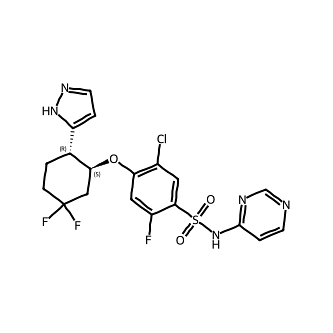 O=S(=O)(Nc1ccncn1)c1cc(Cl)c(O[C@H]2CC(F)(F)CC[C@@H]2c2ccn[nH]2)cc1F